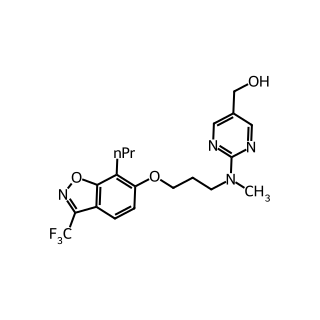 CCCc1c(OCCCN(C)c2ncc(CO)cn2)ccc2c(C(F)(F)F)noc12